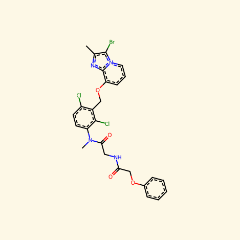 Cc1nc2c(OCc3c(Cl)ccc(N(C)C(=O)CNC(=O)COc4ccccc4)c3Cl)cccn2c1Br